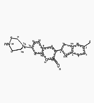 Cc1ccc2nc(-c3cc4ccc(N5CCNCC5)cc4oc3=O)cn2c1